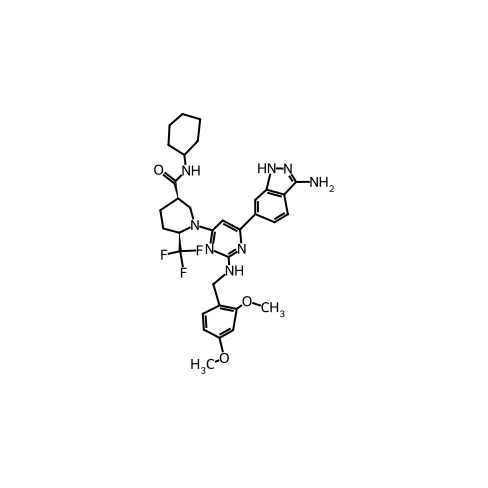 COc1ccc(CNc2nc(-c3ccc4c(N)n[nH]c4c3)cc(N3C[C@H](C(=O)NC4CCCCC4)CC[C@@H]3C(F)(F)F)n2)c(OC)c1